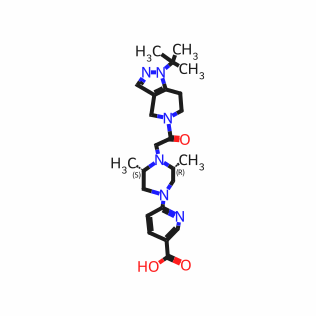 C[C@@H]1CN(c2ccc(C(=O)O)cn2)C[C@H](C)N1CC(=O)N1CCc2c(cnn2C(C)(C)C)C1